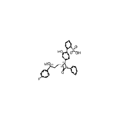 O=C1[C@H](CC[C@H](O)c2ccc(F)cc2)[C@@H](c2ccc(-c3ccccc3S(=O)(=O)O)c(O)c2)N1c1ccccc1